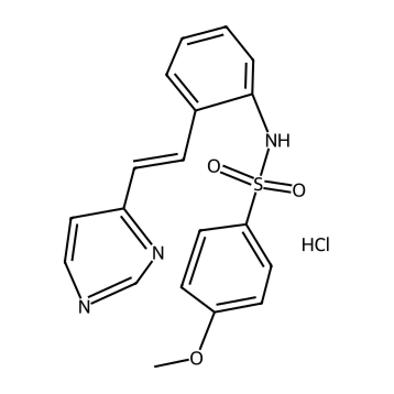 COc1ccc(S(=O)(=O)Nc2ccccc2C=Cc2ccncn2)cc1.Cl